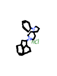 Cl.c1ccc(N2CCCC23CCN(C2Cc4cccc5cccc2c45)CC3)cc1